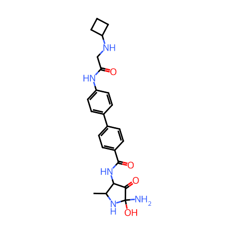 CC1NC(N)(O)C(=O)C1NC(=O)c1ccc(-c2ccc(NC(=O)CNC3CCC3)cc2)cc1